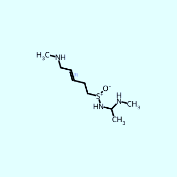 CNC/C=C/CC[S+]([O-])NC(C)NC